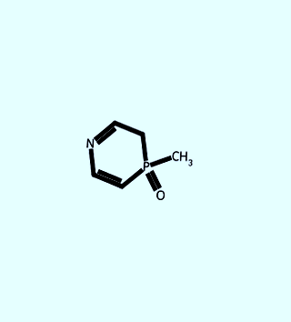 CP1(=O)C=CN=CC1